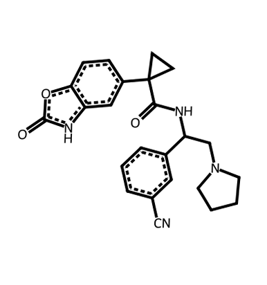 N#Cc1cccc(C(CN2CCCC2)NC(=O)C2(c3ccc4oc(=O)[nH]c4c3)CC2)c1